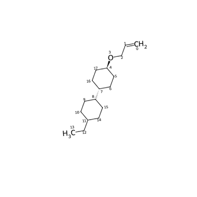 C=CCO[C@H]1CC[C@H](C2CCC(CC)CC2)CC1